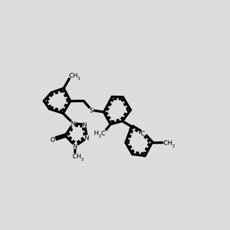 Cc1cccc(-c2cccc(SCc3c(C)cccc3-n3nnn(C)c3=O)c2C)c1